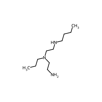 CCCCNCCN(CCC)CCN